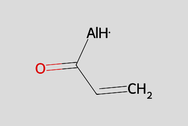 C=C[C](=O)[AlH]